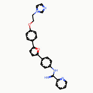 N=C(Nc1ccc(-c2ccc(-c3ccc(OCCn4ccnc4)cc3)o2)cc1)c1ccccn1